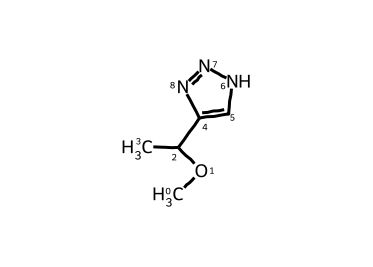 COC(C)c1c[nH]nn1